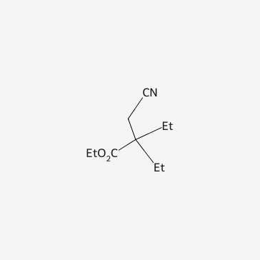 CCOC(=O)C(CC)(CC)CC#N